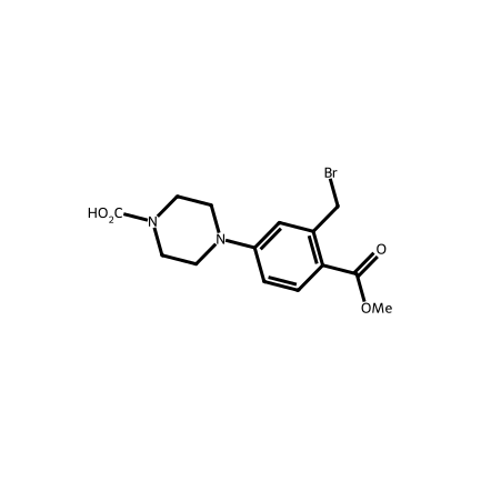 COC(=O)c1ccc(N2CCN(C(=O)O)CC2)cc1CBr